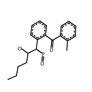 CCCCC(Cl)C(P=O)c1ccccc1C(=O)c1ccccc1C